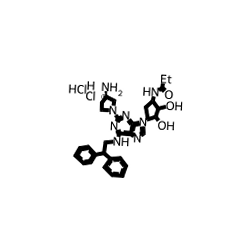 CCC(=O)NC1CC(n2cnc3c(NCC(c4ccccc4)c4ccccc4)nc(N4CC[C@@H](N)C4)nc32)C(O)C1O.Cl.Cl